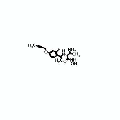 C=C(N[C@H](C(=O)NO)[C@@H](C)N)c1ccc(OCC#CC)cc1F